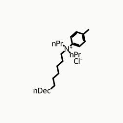 CCCCCCCCCCCCCCCC[N+](CCC)(CCC)c1ccc(C)cc1.[Cl-]